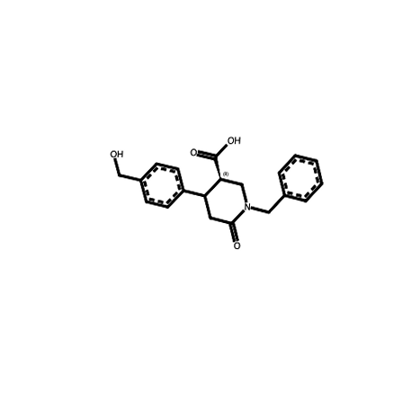 O=C(O)[C@H]1CN(Cc2ccccc2)C(=O)CC1c1ccc(CO)cc1